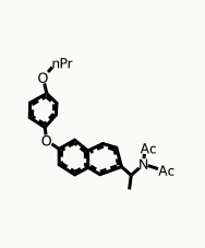 CCCOc1ccc(Oc2ccc3cc(C(C)N(C(C)=O)C(C)=O)ccc3c2)cc1